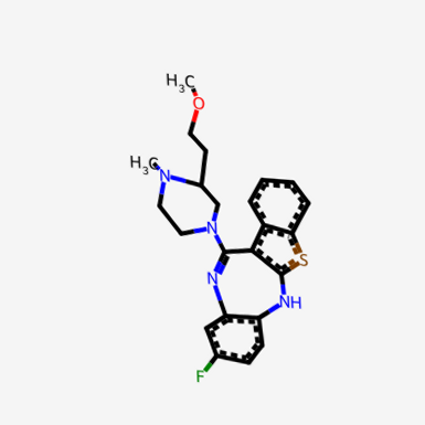 COCCC1CN(C2=Nc3cc(F)ccc3Nc3sc4ccccc4c32)CCN1C